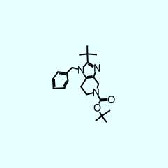 CC(C)(C)OC(=O)N1CCc2c(nc(C(C)(C)C)n2Cc2ccccc2)C1